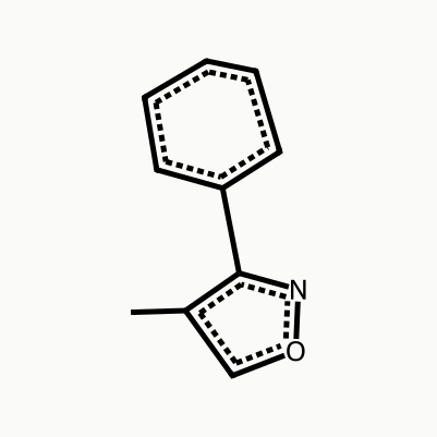 Cc1conc1-c1ccccc1